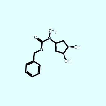 CN(C(=O)OCc1ccccc1)C1C[C@@H](O)[C@@H](O)C1